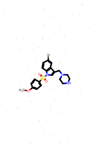 COc1ccc(S(=O)(=O)n2cc(CN3CCNCC3)c3cc(Br)ccc32)cc1